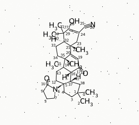 CC1(C)CC[C@]2(N3CCCC3=O)CC[C@]3(C)[C@H](C(=O)C=C4[C@@]5(C)CC(C#N)=C(O)C(C)(C)[C@@H]5CC[C@]43C)[C@@H]2C1